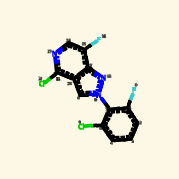 Fc1cccc(Cl)c1-n1cc2c(Cl)ncc(F)c2n1